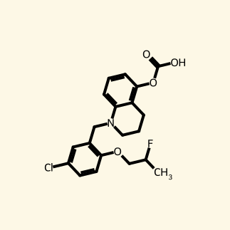 CC(F)COc1ccc(Cl)cc1CN1CCCc2c(OC(=O)O)cccc21